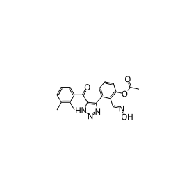 CC(=O)Oc1cccc(-c2nn[nH]c2C(=O)c2cccc(C)c2C)c1C=NO